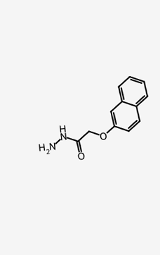 NNC(=O)COc1ccc2ccccc2c1